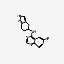 Fc1ccc2ncnc(NC3CCc4n[nH]cc4C3)c2c1